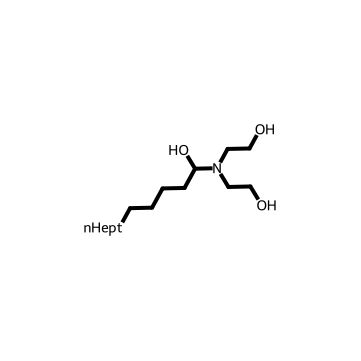 CCCCCCCCCCCC(O)N(CCO)CCO